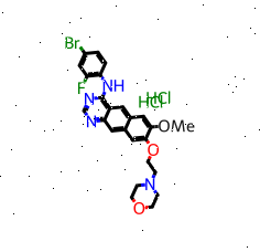 COc1cc2cc3c(Nc4ccc(Br)cc4F)ncnc3cc2cc1OCCN1CCOCC1.Cl.Cl